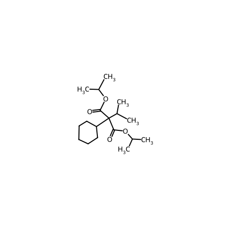 CC(C)OC(=O)C(C(=O)OC(C)C)(C(C)C)C1CCCCC1